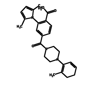 CC1=C(N2CCN(C(=O)c3ccc(C(=O)O)c(-n4c(C)ccc4C)c3)CC2)C=CCC1